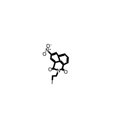 O=C1c2cccc3cc([N+](=O)[O-])cc(c23)C(=O)N1CCI